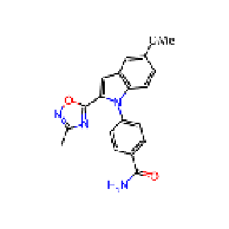 COc1ccc2c(c1)cc(-c1nc(C)no1)n2-c1ccc(C(N)=O)cc1